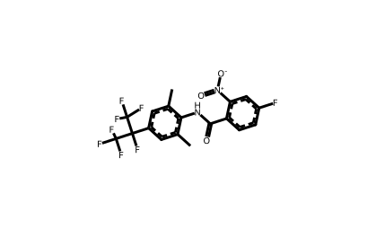 Cc1cc(C(F)(C(F)(F)F)C(F)(F)F)cc(C)c1NC(=O)c1ccc(F)cc1[N+](=O)[O-]